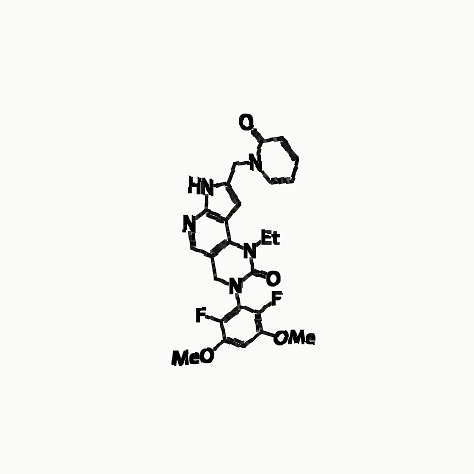 CCN1C(=O)N(c2c(F)c(OC)cc(OC)c2F)Cc2cnc3[nH]c(Cn4ccccc4=O)cc3c21